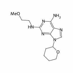 COCCNc1nc(N)c2ncn(C3CCCCO3)c2n1